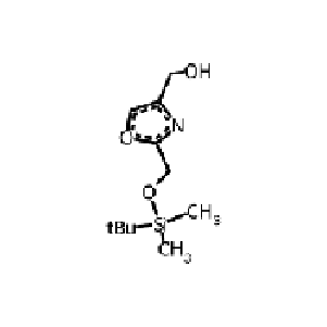 CC(C)(C)[Si](C)(C)OCc1nc(CO)co1